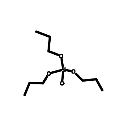 CCCO[Si]([O])(OCCC)OCCC